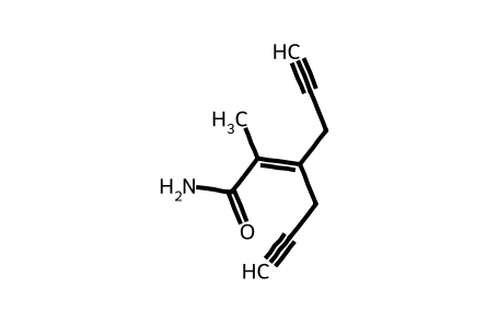 C#CCC(CC#C)=C(C)C(N)=O